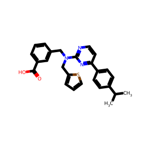 CC(C)c1ccc(-c2ccnc(N(Cc3cccc(C(=O)O)c3)Cc3cccs3)n2)cc1